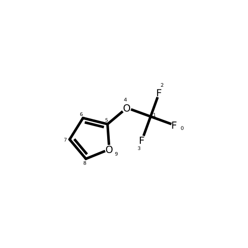 FC(F)(F)Oc1ccco1